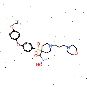 O=C(NO)C1(S(=O)(=O)c2ccc(Oc3ccc(OC(F)(F)F)cc3)cc2)CCN(CCCN2CCOCC2)CC1